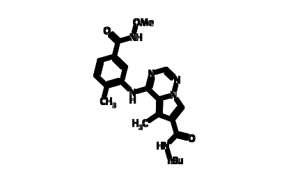 CCCCNC(=O)c1cn2ncnc(Nc3cc(C(=O)NOC)ccc3C)c2c1C